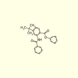 CC(C)(C)c1ccc(C(=O)Oc2ccccc2)c(NC(=O)c2ccccc2)c1